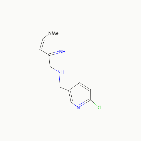 CN/C=C\C(=N)CNCc1ccc(Cl)nc1